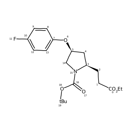 CCOC(=O)CC[C@@H]1C[C@H](Oc2ccc(F)cc2)CN1C(=O)OC(C)(C)C